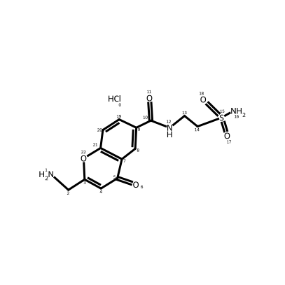 Cl.NCc1cc(=O)c2cc(C(=O)NCCS(N)(=O)=O)ccc2o1